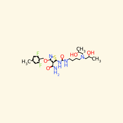 Cc1cc(F)c(COc2nsc(NC(=O)NCCCCN(CC(C)O)CC(C)O)c2C(N)=O)c(F)c1